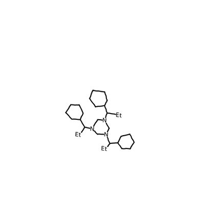 CCC(C1CCCCC1)N1CN(C(CC)C2CCCCC2)CN(C(CC)C2CCCCC2)C1